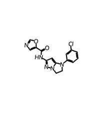 O=C(Nc1cc2n(n1)CCN2c1cccc(Cl)c1)c1cnco1